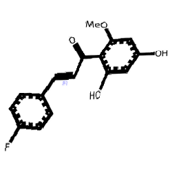 COc1cc(O)cc(O)c1C(=O)/C=C/c1ccc(F)cc1